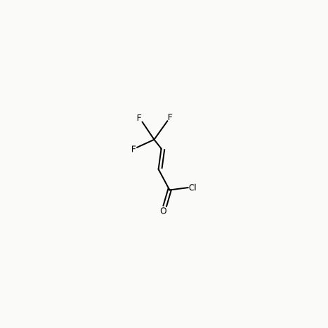 O=C(Cl)/C=C/C(F)(F)F